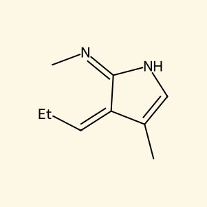 CC/C=C1/C(C)=CN/C1=N/C